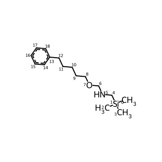 C[Si](C)(C)CNCOCCCCCc1ccccc1